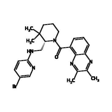 Cc1nc2cccc(C(=O)N3CCCC(C)(C)[C@H]3CNc3ccc(Br)cn3)c2nc1C